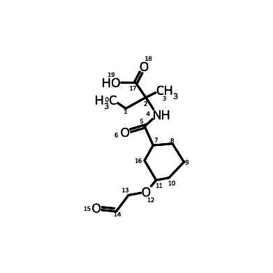 CCC(C)(NC(=O)C1CCCC(OCC=O)C1)C(=O)O